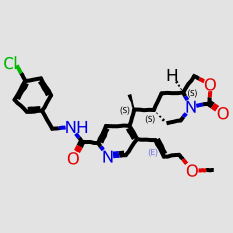 COC/C=C/c1cnc(C(=O)NCc2ccc(Cl)cc2)cc1[C@@H](C)[C@H]1CCN2C(=O)OC[C@@H]2C1